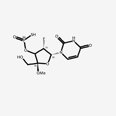 CO[C@]1(CO)O[C@@H](n2ccc(=O)[nH]c2=O)[C@@H](F)C1O[PH](=O)S